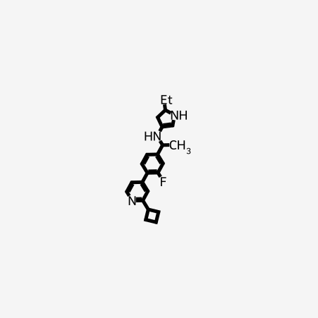 CCC1CC(NC(C)c2ccc(-c3ccnc(C4CCC4)c3)c(F)c2)=CN1